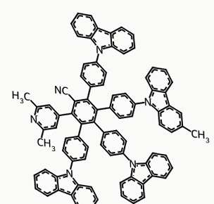 Cc1ccc2c(c1)c1ccccc1n2-c1ccc(-c2c(-c3ccc(-n4c5ccccc5c5ccccc54)cc3)c(C#N)c(-c3cc(C)nc(C)c3)c(-c3ccc(-n4c5ccccc5c5ccccc54)cc3)c2-c2ccc(-n3c4ccccc4c4ccccc43)cc2)cc1